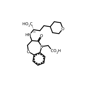 O=C(O)CN1C(=O)C(N[C@@H](CCC2CCOCC2)C(=O)O)COc2ccccc21